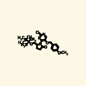 COc1ccc(COc2cnc(Cl)nc2N2C(=O)CCC2CO[Si](C)(C)C(C)(C)C)cc1